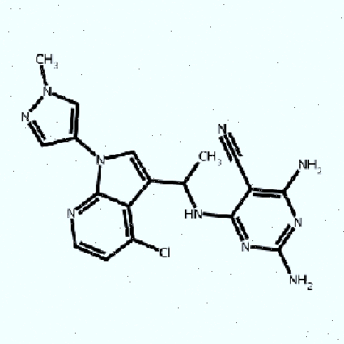 CC(Nc1nc(N)nc(N)c1C#N)c1cn(-c2cnn(C)c2)c2nccc(Cl)c12